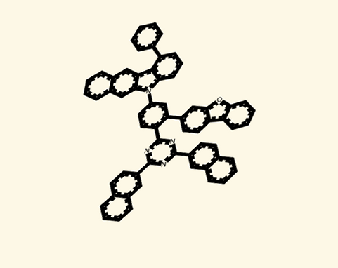 c1ccc(-c2cccc3c2c2cc4ccccc4cc2n3-c2ccc(-c3nc(-c4ccc5ccccc5c4)nc(-c4ccc5ccccc5c4)n3)c(-c3ccc4c(c3)oc3ccccc34)c2)cc1